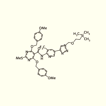 COc1ccc(COc2nc(SC)nc(OCc3ccc(OC)cc3)c2C(=O)Nc2ncc(-c3cn(COCC[Si](C)(C)C)nn3)cc2C(F)(F)F)cc1